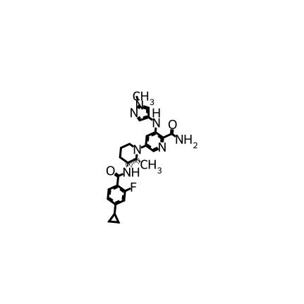 C[C@@H]1[C@H](NC(=O)c2ccc(C3CC3)cc2F)CCCN1c1cnc(C(N)=O)c(Nc2cnn(C)c2)c1